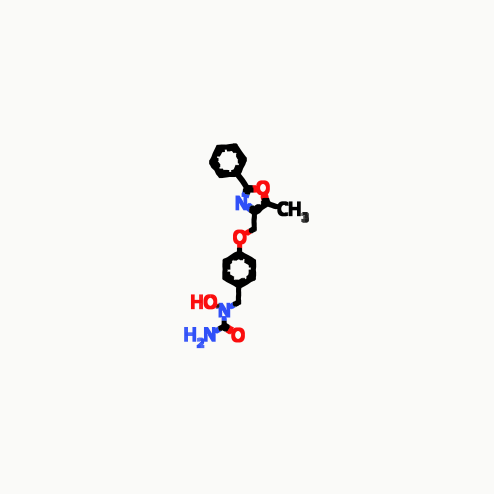 Cc1oc(-c2ccccc2)nc1COc1ccc(CN(O)C(N)=O)cc1